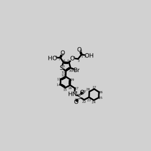 O=C(O)COc1c(C(=O)O)sc(-c2cccc(CNS(=O)(=O)CC3CCCCC3)c2)c1Br